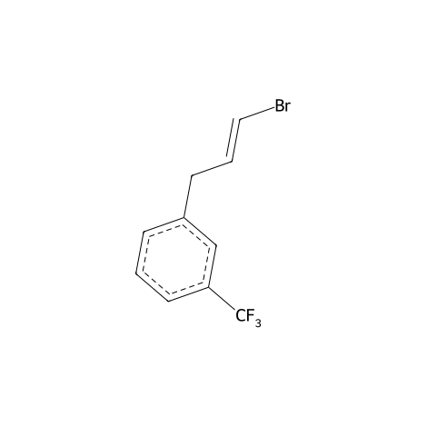 FC(F)(F)c1cccc(CC=CBr)c1